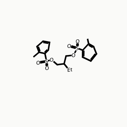 CCC(COS(=O)(=O)c1ccccc1C)COS(=O)(=O)c1ccccc1C